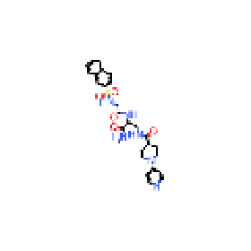 CNC(=O)C(CNC(=O)C1CCN(c2ccncc2)CC1)NC(=O)CNS(=O)(=O)c1ccc2ccccc2c1